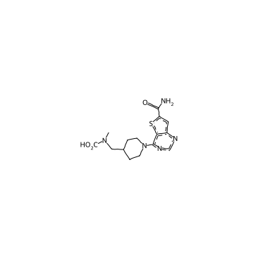 CN(CC1CCN(c2ncnc3cc(C(N)=O)sc23)CC1)C(=O)O